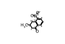 CC1CC(=O)c2cccc([N+](=O)[O-])c2C1